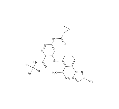 [2H]C([2H])([2H])NC(=O)c1nnc(NC(=O)C2CC2)cc1Nc1cccc(-c2ncn(C)n2)c1N(C)C